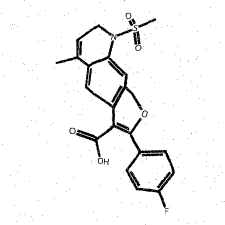 CC1=CCN(S(C)(=O)=O)c2cc3oc(-c4ccc(F)cc4)c(C(=O)O)c3cc21